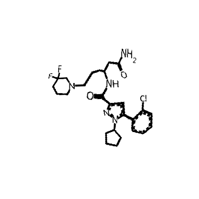 NC(=O)CC(CCN1CCCC(F)(F)C1)NC(=O)c1cc(-c2ccccc2Cl)n(C2CCCC2)n1